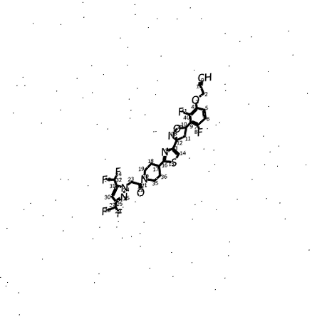 C#CCOc1ccc(F)c(C2CC(c3csc(C4CCN(C(=O)Cn5nc(C(F)F)cc5C(F)F)CC4)n3)=NO2)c1F